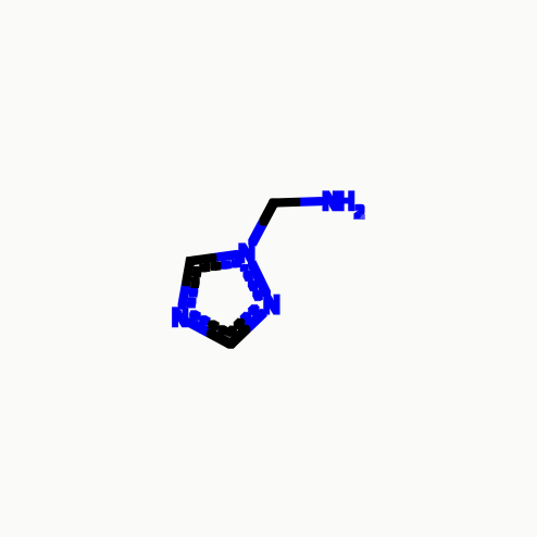 NCn1cncn1